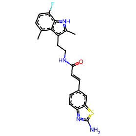 Cc1[nH]c2c(F)ccc(C)c2c1CCNC(=O)C=Cc1ccc2nc(N)sc2c1